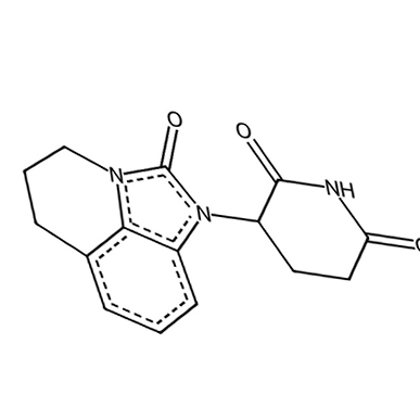 O=C1CCC(n2c(=O)n3c4c(cccc42)CCC3)C(=O)N1